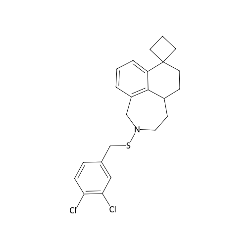 Clc1ccc(CSN2CCC3CCC4(CCC4)c4cccc(c43)C2)cc1Cl